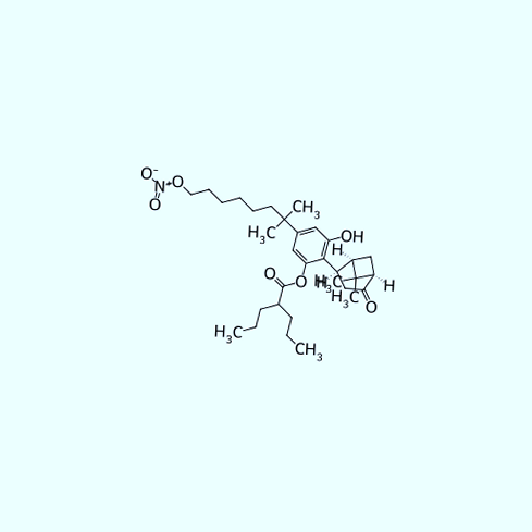 CCCC(CCC)C(=O)Oc1cc(C(C)(C)CCCCCCO[N+](=O)[O-])cc(O)c1[C@@H]1CC(=O)[C@@H]2C[C@H]1C2(C)C